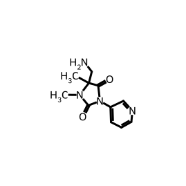 CN1C(=O)N(c2cccnc2)C(=O)C1(C)CN